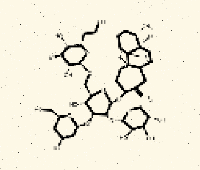 C=C1CC2CC[C@@H]3[C@@H](C)CCC[C@@]3(C)[C@@H]2CCC1O[C@@H]1O[C@H](CO[C@@H]2O[C@H](CCO)[C@@H](O)[C@H](O)[C@H]2O)[C@@H](O)[C@H](O[C@H]2C[C@@H](O)C[C@@H](CO)O2)[C@H]1O[C@@H]1OC[C@H](O)[C@@H](O)[C@H]1O